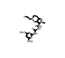 COc1cc(OC)nc(NC(=O)NS(=O)(=O)c2c3c(nn2C)CCN(CCF)S3)n1